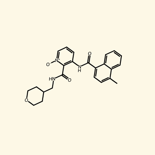 Cc1ccc(C(=O)Nc2ccc[n+]([O-])c2C(=O)NCC2CCOCC2)c2ccccc12